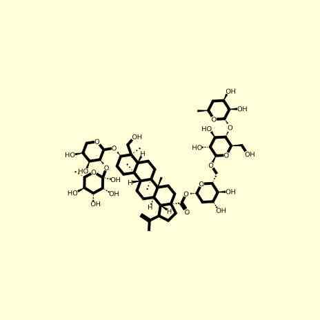 C=C(C)C1CC[C@]2(C(=O)O[C@H]3C[C@@H](O)[C@H](O)[C@@H](CO[C@@H]4O[C@H](CO)[C@@H](O[C@@H]5O[C@@H](C)C[C@@H](O)[C@H]5O)[C@H](O)[C@H]4O)O3)CC[C@]3(C)[C@H](CC[C@@H]4[C@@]5(C)CC[C@H](OC6OC[C@H](O)[C@H](O)[C@H]6O[C@]6(O)O[C@@H](C)[C@H](O)[C@@H](O)[C@H]6O)[C@@](C)(CO)[C@@H]5CC[C@]43C)[C@@H]12